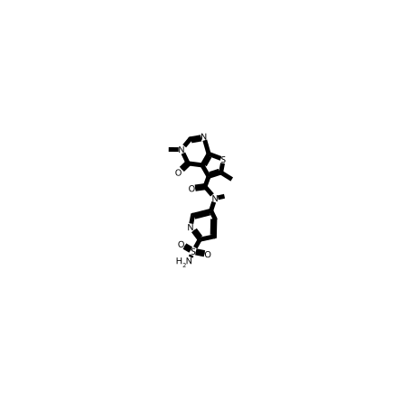 Cc1sc2ncn(C)c(=O)c2c1C(=O)N(C)c1ccc(S(N)(=O)=O)nc1